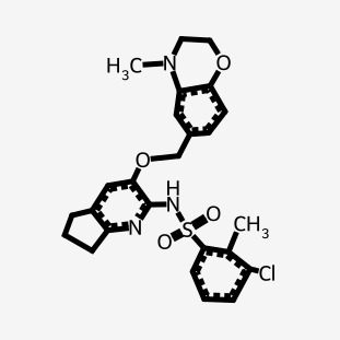 Cc1c(Cl)cccc1S(=O)(=O)Nc1nc2c(cc1OCc1ccc3c(c1)N(C)CCO3)CCC2